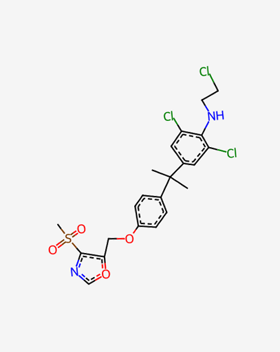 CC(C)(c1ccc(OCc2ocnc2S(C)(=O)=O)cc1)c1cc(Cl)c(NCCCl)c(Cl)c1